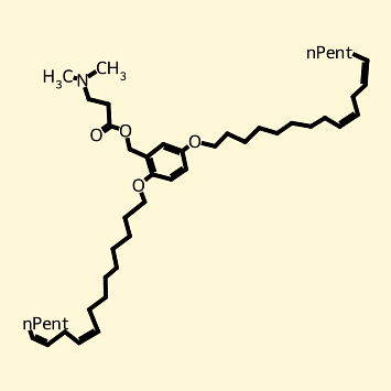 CCCCC/C=C\C/C=C\CCCCCCCCOc1ccc(OCCCCCCCC/C=C\C/C=C\CCCCC)c(COC(=O)CCN(C)C)c1